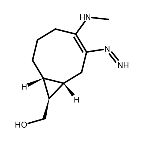 CN/C1=C(\N=N)C[C@@H]2[C@@H](CO)[C@@H]2CCC1